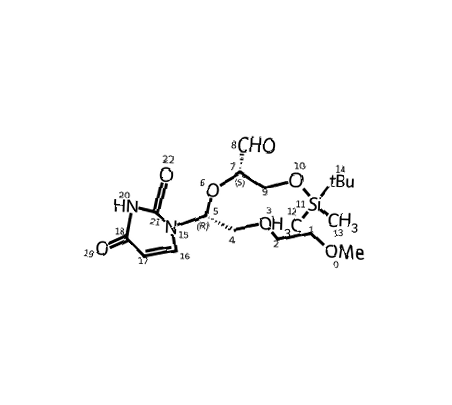 COCCOC[C@@H](O[C@H](C=O)CO[Si](C)(C)C(C)(C)C)n1ccc(=O)[nH]c1=O